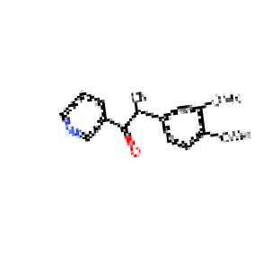 COc1ccc(C(C#N)C(=O)c2cccnc2)cc1OC